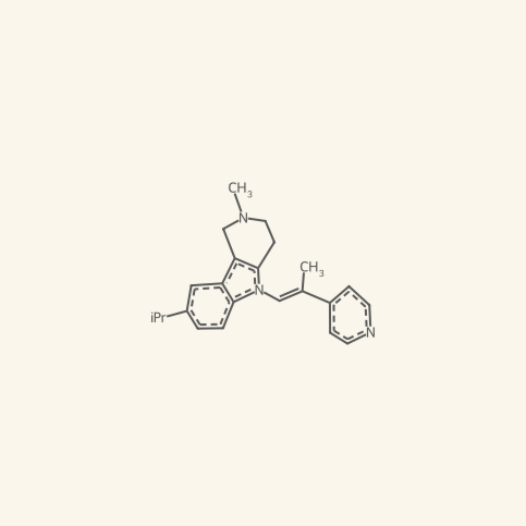 C/C(=C\n1c2c(c3cc(C(C)C)ccc31)CN(C)CC2)c1ccncc1